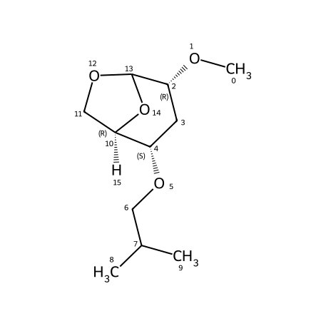 CO[C@@H]1C[C@H](OCC(C)C)[C@H]2COC1O2